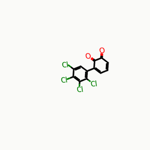 O=C1C=CC=C(c2cc(Cl)c(Cl)c(Cl)c2Cl)C1=O